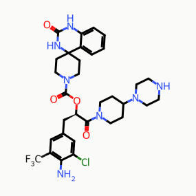 Nc1c(Cl)cc(C[C@@H](OC(=O)N2CCC3(CC2)NC(=O)Nc2ccccc23)C(=O)N2CCC(N3CCNCC3)CC2)cc1C(F)(F)F